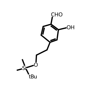 CC(C)(C)[Si](C)(C)OCCc1ccc(C=O)c(O)c1